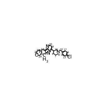 Cc1nn2c(C3CCCN(Cc4ccc(Cl)cc4)C3)ccnc2c1CN1CCOCC1